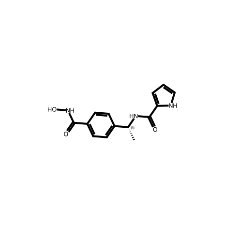 C[C@@H](NC(=O)c1ccc[nH]1)c1ccc(C(=O)NO)cc1